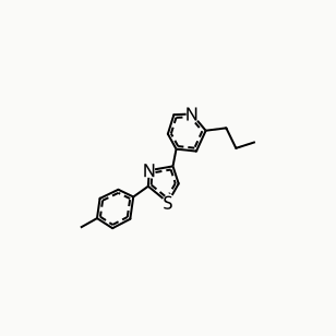 CCCc1cc(-c2csc(-c3ccc(C)cc3)n2)ccn1